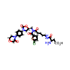 N[C@@H](CC(=O)O)C(=O)NCCCCC(=O)N(C[C@H]1CN(c2ccc(N3CCOCC3=O)cc2)C(=O)O1)C(=O)c1ccc(Cl)s1